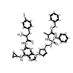 CC(NP(=O)(OC[C@H]1C=C[C@@H](n2cnc3c(NC4CC4)nc(NC(=O)C(N)Cc4ccc(F)cc4)nc32)C1)Oc1ccccc1)C(=O)OCc1ccccc1